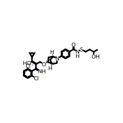 CC(O)CCSNC(=O)c1ccc(N2C[C@@H]3C[C@H]2C[C@H]3OC/C(C(=N)c2c(Cl)cccc2Cl)=C(/O)C2CC2)cc1